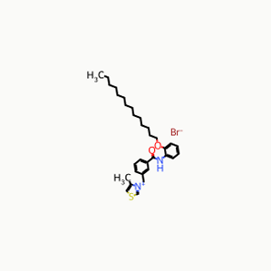 CCCCCCCCCCCCCCOc1ccccc1NC(=O)c1cccc(C[n+]2cscc2C)c1.[Br-]